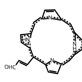 O=CC=Cc1c2nc(cc3ccc(cc4nc(cc5ccc1[nH]5)C=C4)[nH]3)C=C2